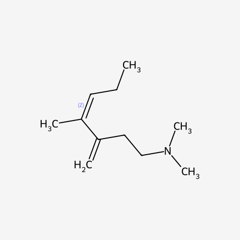 C=C(CCN(C)C)/C(C)=C\CC